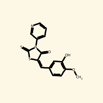 COc1ccc(C=C2SC(=S)N(c3cccnc3)C2=O)cc1O